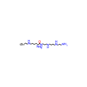 CC(C)(C)CCNCCCC[C@H](N)C(=O)NCCCNCCCCNCCCN